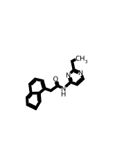 CCc1nccc(NC(=O)Cc2cccc3ccccc23)n1